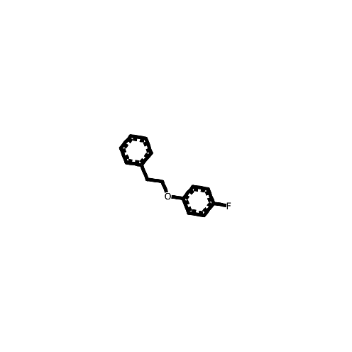 Fc1ccc(OCCc2ccccc2)cc1